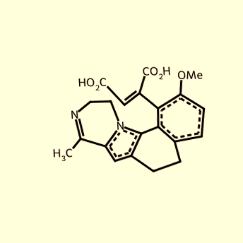 COc1ccc2c(c1C(=CC(=O)O)C(=O)O)-c1c(cc3n1CCN=C3C)CC2